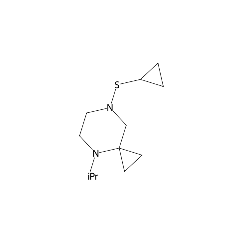 CC(C)N1CCN(SC2CC2)CC12CC2